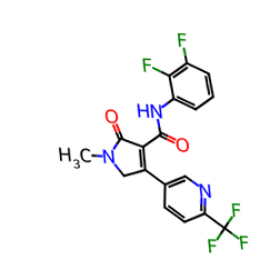 CN1CC(c2ccc(C(F)(F)F)nc2)=C(C(=O)Nc2cccc(F)c2F)C1=O